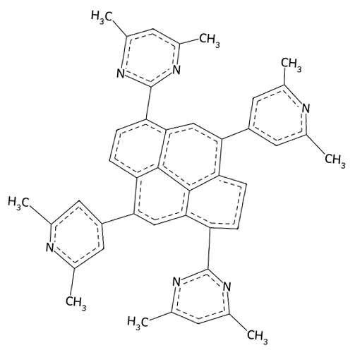 Cc1cc(-c2cc3c(-c4nc(C)cc(C)n4)ccc4c(-c5cc(C)nc(C)c5)cc5c(-c6nc(C)cc(C)n6)ccc2c5c43)cc(C)n1